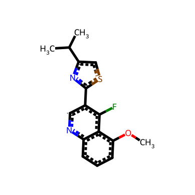 COc1cccc2n[c]c(-c3nc(C(C)C)cs3)c(F)c12